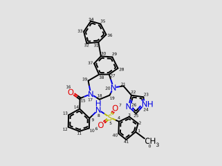 Cc1ccc(S(=O)(=O)Nc2ccccc2C(=O)N2CCN(Cc3c[nH]cn3)c3ccc(-c4ccccc4)cc3C2)cc1